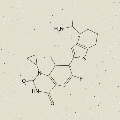 Cc1c(-c2cc3c(s2)CCCC3C(C)N)c(F)cc2c(=O)[nH]c(=O)n(C3CC3)c12